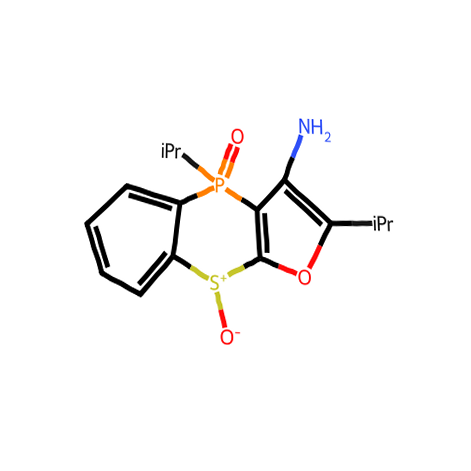 CC(C)c1oc2c(c1N)P(=O)(C(C)C)c1ccccc1[S+]2[O-]